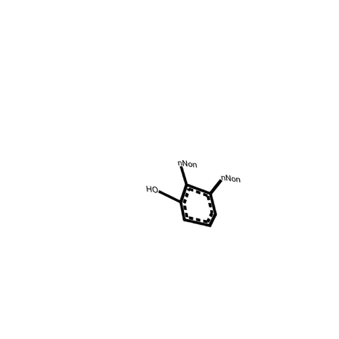 CCCCCCCCCc1cccc(O)c1CCCCCCCCC